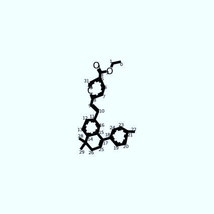 CCOC(=O)c1ccc(/C=C/c2ccc3c(c2)C(c2ccc(C)cc2)=CCC3(C)C)cc1